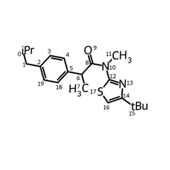 CC(C)Cc1ccc(C(C)C(=O)N(C)c2nc(C(C)(C)C)cs2)cc1